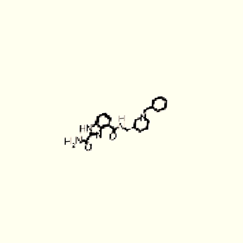 NC(=O)c1nc2c(C(=O)NC[C@@H]3CCCN(CC4CCCCC4)C3)cccc2[nH]1